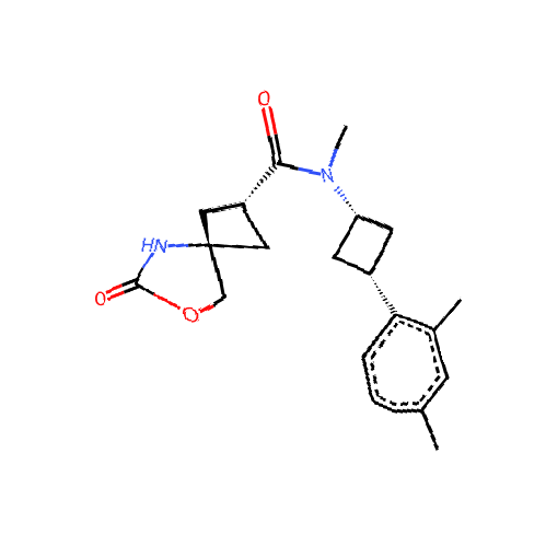 Cc1ccc([C@H]2C[C@@H](N(C)C(=O)[C@H]3C[C@]4(COC(=O)N4)C3)C2)c(C)c1